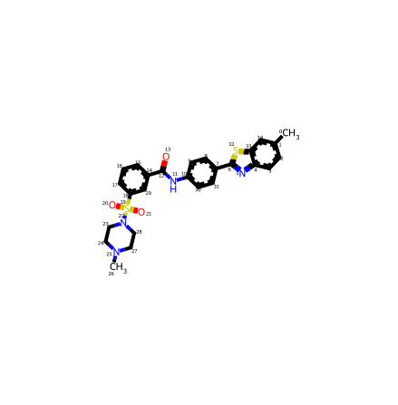 Cc1ccc2nc(-c3ccc(NC(=O)c4cccc(S(=O)(=O)N5CCN(C)CC5)c4)cc3)sc2c1